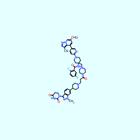 CCOc1cc(-c2ccc(N3CCC(CN4CCN(C(=O)CCN5CCC(c6ccc7c(N8CCC(=O)NC8=O)nn(C)c7c6)CC5)CC4)(NC(=O)c4cc(F)ccc4F)CC3)nc2)c2c(C#N)cnn2c1